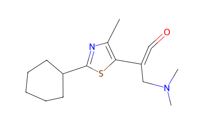 Cc1nc(C2CCCCC2)sc1C(=C=O)CN(C)C